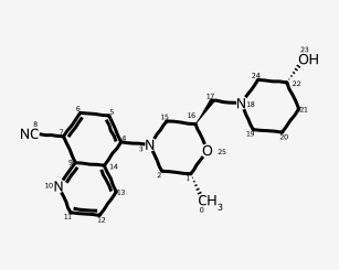 C[C@@H]1CN(c2ccc(C#N)c3ncccc23)C[C@@H](CN2CCC[C@@H](O)C2)O1